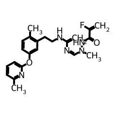 C=C(/N=C\N(C)NC(=O)C(=C)F)NCCc1cc(Oc2cccc(C)n2)ccc1C